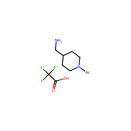 CC(=O)N1CCC(CN)CC1.O=C(O)C(F)(F)F